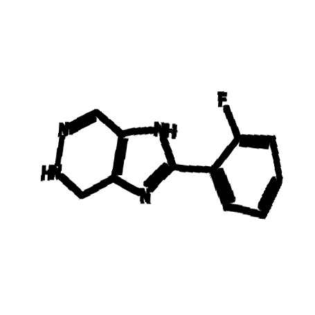 Fc1ccccc1-c1nc2c([nH]1)C=NNC2